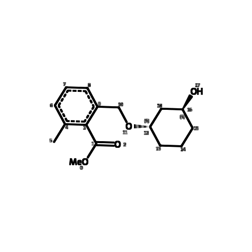 COC(=O)c1c(C)cccc1CO[C@H]1CCC[C@H](O)C1